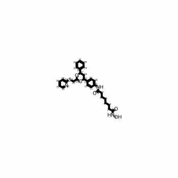 O=C(CCCCCCC(=O)Nc1ccc(C2CC(c3ccccc3)OC(CSc3ccccn3)O2)cc1)NO